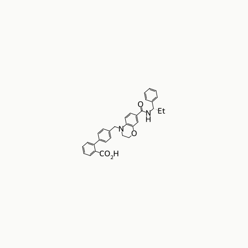 CC[C@H](NC(=O)c1ccc2c(c1)OCCN2Cc1ccc(-c2ccccc2C(=O)O)cc1)c1ccccc1